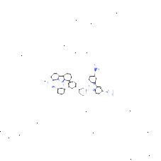 N#Cc1ccc2c(c1)c1cc(C#N)ccc1n2C1C=C(c2cccc(-c3cccc(C#N)c3-n3c4ccccc4c4ccccc43)c2)C=CC1